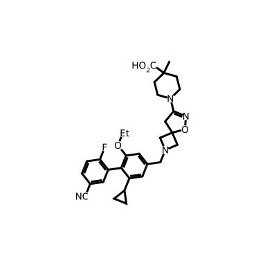 CCOc1cc(CN2CC3(CC(N4CCC(C)(C(=O)O)CC4)=NO3)C2)cc(C2CC2)c1-c1cc(C#N)ccc1F